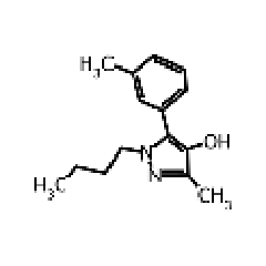 CCCCn1nc(C)c(O)c1-c1cccc(C)c1